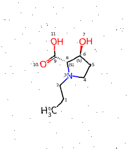 CCCN1CC[C@H](O)[C@H]1C(=O)O